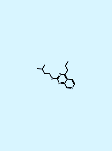 CCCc1nc(SCCC(C)C)nc2cnccc12